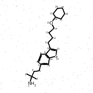 CC(C)(N)CCc1ccc2c(CCCCOC3CCCCC3)csc2c1